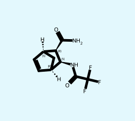 NC(=O)[C@H]1[C@@H](NC(=O)C(F)(F)F)[C@H]2C=C[C@@H]1C2